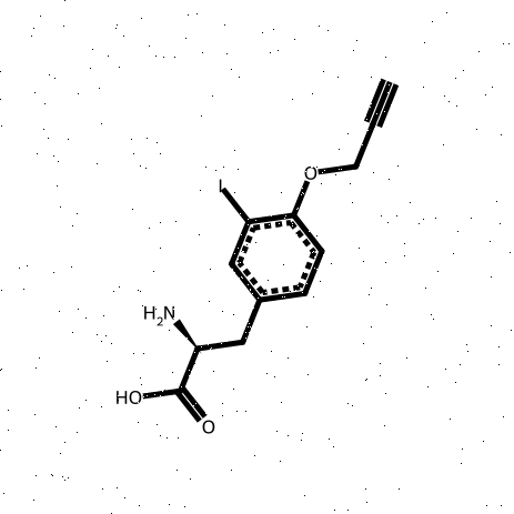 C#CCOc1ccc(C[C@H](N)C(=O)O)cc1I